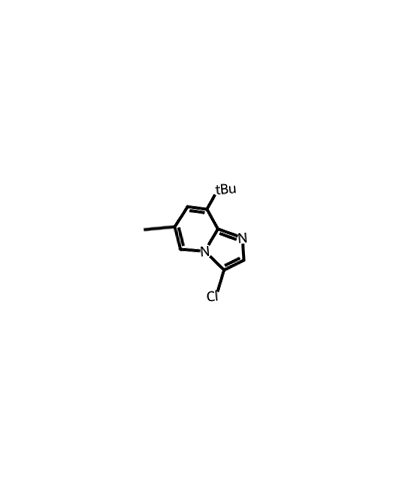 Cc1cc(C(C)(C)C)c2ncc(Cl)n2c1